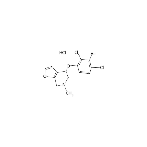 CC(=O)c1c(Cl)ccc(OC2CN(C)Cc3occc32)c1Cl.Cl